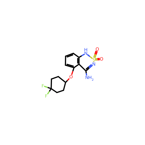 NC1=NS(=O)(=O)Nc2cccc(OC3CCC(F)(F)CC3)c21